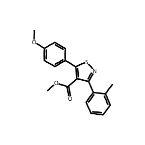 COC(=O)c1c(-c2ccccc2C)nsc1-c1ccc(OC)cc1